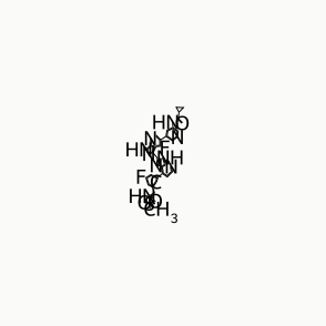 CS(=O)(=O)NCc1cc(F)cc(-c2ccnc3[nH]c(-c4n[nH]c5ncc(-c6cncc(NC(=O)C7CC7)c6)c(F)c45)nc23)c1